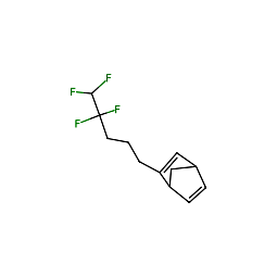 FC(F)C(F)(F)CCCC1=CC2C=CC1C2